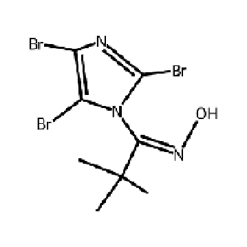 CC(C)(C)/C(=N/O)n1c(Br)nc(Br)c1Br